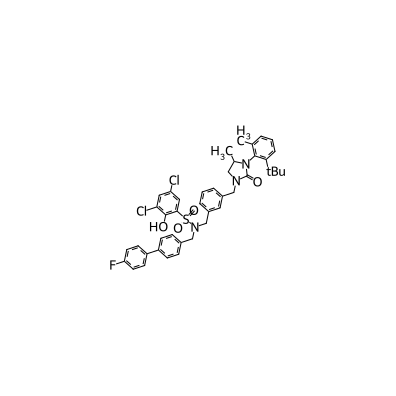 Cc1cccc(C(C)(C)C)c1N1C(=O)N(Cc2cccc(CN(Cc3ccc(-c4ccc(F)cc4)cc3)S(=O)(=O)c3cc(Cl)cc(Cl)c3O)c2)CC1C